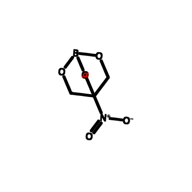 O=[N+]([O-])C12COB(OC1)OC2